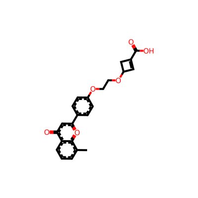 Cc1cccc2c(=O)cc(-c3ccc(OCCOC4C=C(C(=O)O)C4)cc3)oc12